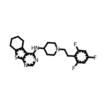 Fc1cc(F)c(CCN2CCC(Nc3ncnc4sc5c(c34)CCCC5)CC2)c(F)c1